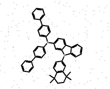 CC1(C)CCC(C)(C)c2cc(-n3c4ccccc4c4ccc(N(c5ccc(-c6ccccc6)cc5)c5ccc(-c6ccccc6)cc5)cc43)ccc21